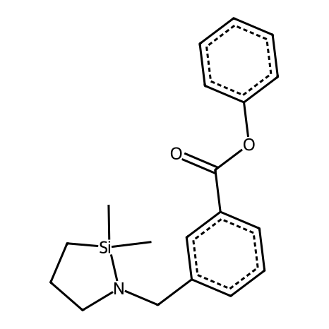 C[Si]1(C)CCCN1Cc1cccc(C(=O)Oc2ccccc2)c1